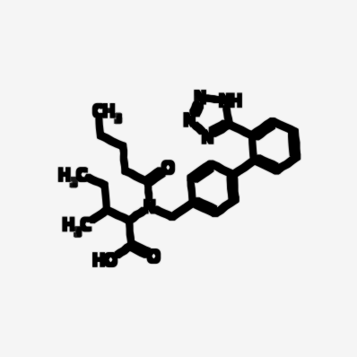 CCCCC(=O)N(Cc1ccc(-c2ccccc2-c2nnn[nH]2)cc1)C(C(=O)O)C(C)CC